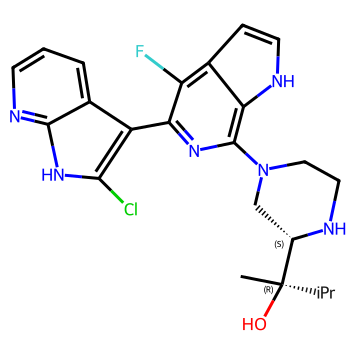 CC(C)[C@@](C)(O)[C@@H]1CN(c2nc(-c3c(Cl)[nH]c4ncccc34)c(F)c3cc[nH]c23)CCN1